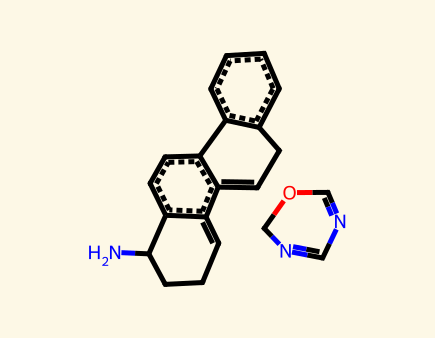 C1=NC=NCO1.NC1CCC=c2c1ccc1c2=CCc2ccccc2-1